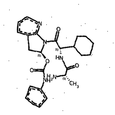 C[C@H](N)C(=O)N[C@H](C(=O)N1c2ncccc2C[C@@H]1OC(=O)Nc1ccccc1)C1CCCCC1